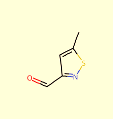 Cc1cc(C=O)ns1